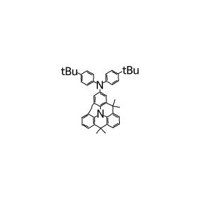 CC(C)(C)c1ccc(N(c2ccc(C(C)(C)C)cc2)c2cc3c4c(c2)c2cccc5c2n4-c2c(cccc2C3(C)C)C5(C)C)cc1